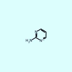 NC1=NC=CC=[N+]1